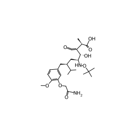 COc1ccc(C[C@@H](C[C@H](NOC(C)(C)C)[C@@H](O)C(=C=O)[C@@H](C)C(=O)O)C(C)C)cc1OCC(N)=O